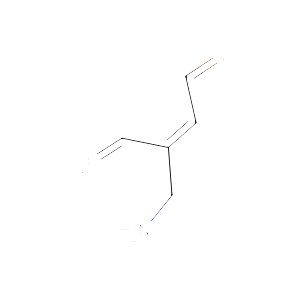 C=C/C(=C\C=S)CN